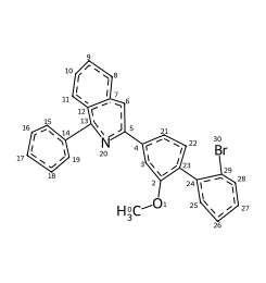 COc1cc(-c2cc3ccccc3c(-c3ccccc3)n2)ccc1-c1ccccc1Br